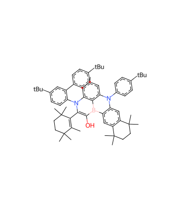 CC1=C(C2=C(O)B3c4cc5c(cc4N(c4ccc(C(C)(C)C)cc4)c4cc(C)cc(c43)N2c2ccc(C(C)(C)C)cc2-c2ccc(C(C)(C)C)cc2)C(C)(C)CCC5(C)C)C(C)(C)CCC1(C)C